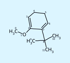 COC1=CCCC=C1C(C)(C)C